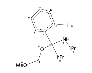 CCCC(NC(C)C)(OCOC)c1ccccc1I